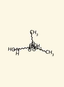 CCCCCCCCOC(=O)C(C)(COC(=O)CCCCCCCNCCO)C(=O)OCCCCCCCC